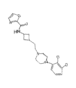 O=C(NC1CC(CCN2CCN(c3cccc(Cl)c3Cl)CC2)C1)c1ncco1